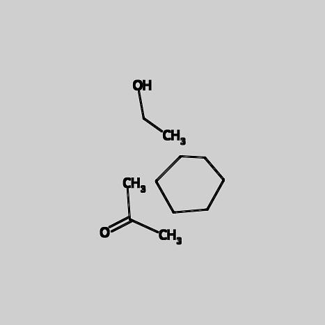 C1CCCCC1.CC(C)=O.CCO